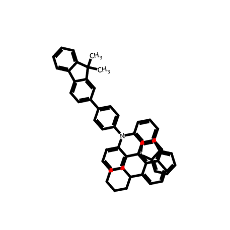 CC1(C)c2ccccc2-c2ccc(-c3ccc(N(c4ccccc4-c4cccc5cccc(C6CCCCC6)c45)c4cccc5c4sc4ccccc45)cc3)cc21